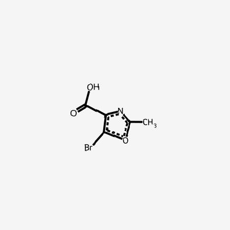 Cc1nc(C(=O)O)c(Br)o1